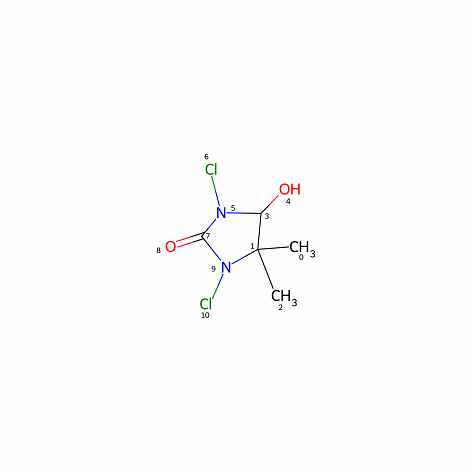 CC1(C)C(O)N(Cl)C(=O)N1Cl